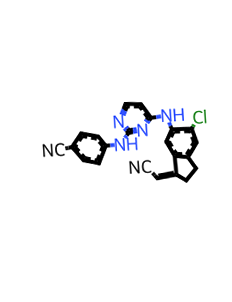 N#C/C=C1/CCc2cc(Cl)c(Nc3ccnc(Nc4ccc(C#N)cc4)n3)cc21